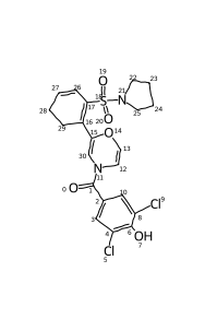 O=C(c1cc(Cl)c(O)c(Cl)c1)N1C=COC(C2=C(S(=O)(=O)N3CCCC3)C=CCC2)=C1